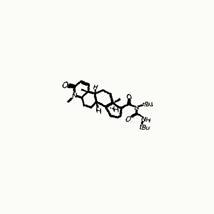 CN1C(=O)C=C[C@@]2(C)C1CC[C@@H]1[C@H]2CC[C@]2(C)C(C(=O)N(C(=O)NC(C)(C)C)C(C)(C)C)CC[C@@H]12